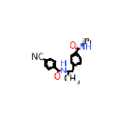 CC(C)NC(=O)c1ccc(CC(C)NC(=O)c2ccc(C#N)cc2)cc1